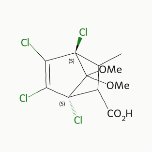 COC1(OC)[C@]2(Cl)C(Cl)=C(Cl)[C@]1(Cl)C(C(=O)O)C2C